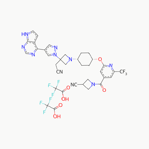 N#CCC1(n2cc(-c3ncnc4[nH]ccc34)cn2)CN([C@H]2CC[C@@H](Oc3cc(C(=O)N4CC(C#N)C4)cc(C(F)(F)F)n3)CC2)C1.O=C(O)C(F)(F)F.O=C(O)C(F)(F)F